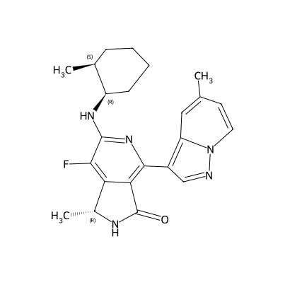 Cc1ccn2ncc(-c3nc(N[C@@H]4CCCC[C@@H]4C)c(F)c4c3C(=O)N[C@@H]4C)c2c1